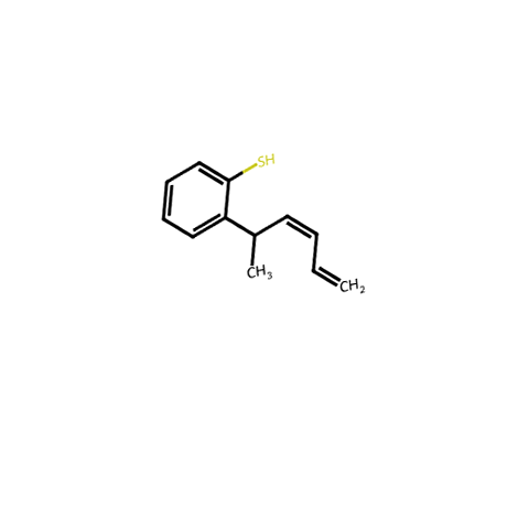 C=C/C=C\C(C)c1ccccc1S